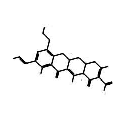 C/C=C/c1cc(CCC)c2c(c1O)C(=O)C1=C(O)[C@]3(O)C(=O)C(C(N)=O)=C(O)C[C@@H]3C[C@@H]1C2